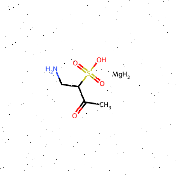 CC(=O)C(CN)S(=O)(=O)O.[MgH2]